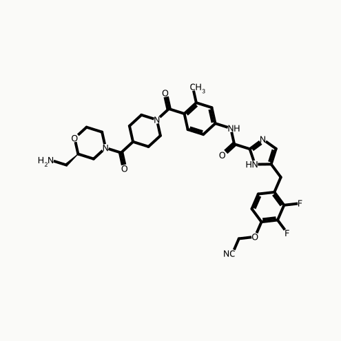 Cc1cc(NC(=O)c2ncc(Cc3ccc(OCC#N)c(F)c3F)[nH]2)ccc1C(=O)N1CCC(C(=O)N2CCO[C@H](CN)C2)CC1